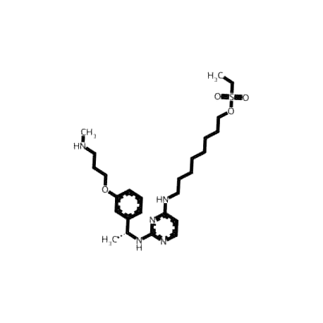 CCS(=O)(=O)OCCCCCCCCNc1ccnc(N[C@H](C)c2cccc(OCCCNC)c2)n1